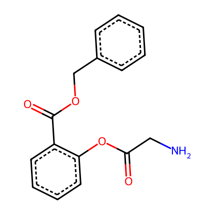 NCC(=O)Oc1ccccc1C(=O)OCc1ccccc1